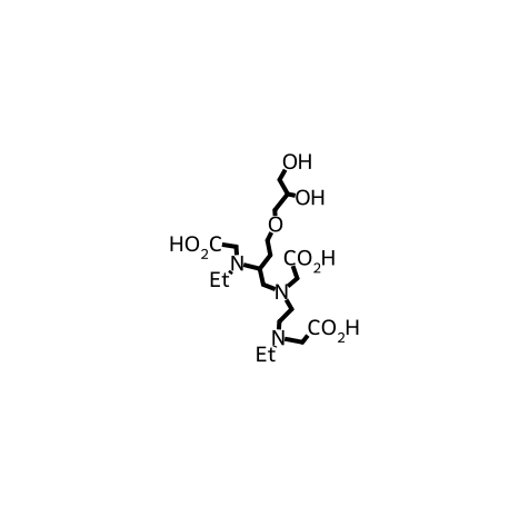 CCN(CCN(CC(=O)O)CC(CCOCC(O)CO)N(CC)CC(=O)O)CC(=O)O